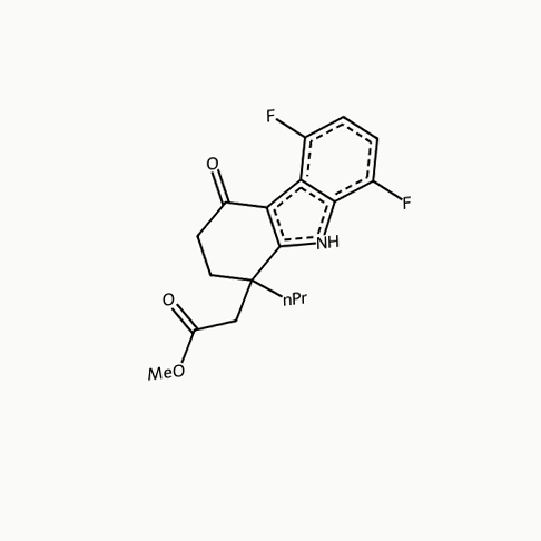 CCCC1(CC(=O)OC)CCC(=O)c2c1[nH]c1c(F)ccc(F)c21